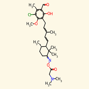 COc1c(Cl)c(C)c(C=O)c(O)c1C/C=C(C)/C=C/C1[C@H](C)CC/C(=N\OC(=O)CN(C)C)C1(C)C